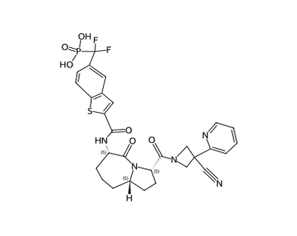 N#CC1(c2ccccn2)CN(C(=O)[C@@H]2CC[C@@H]3CCC[C@H](NC(=O)c4cc5cc(C(F)(F)P(=O)(O)O)ccc5s4)C(=O)N32)C1